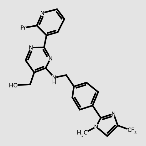 CC(C)c1ncccc1-c1ncc(CO)c(NCc2ccc(-c3nc(C(F)(F)F)cn3C)cc2)n1